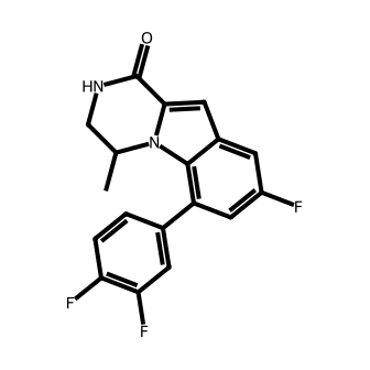 CC1CNC(=O)c2cc3cc(F)cc(-c4ccc(F)c(F)c4)c3n21